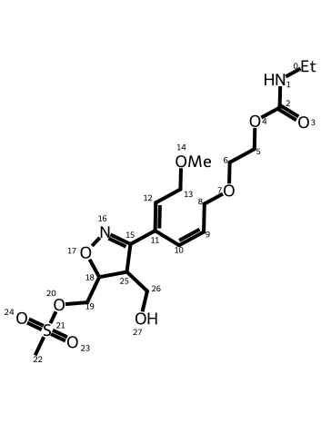 CCNC(=O)OCCOC/C=C\C(=C/COC)C1=NOC(COS(C)(=O)=O)C1CO